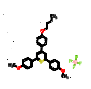 CCCCOc1ccc(-c2cc(-c3ccc(OC)cc3)[s+]c(-c3ccc(OC)cc3)c2)cc1.F[B-](F)(F)F